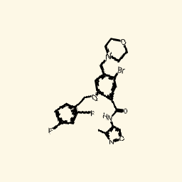 Cc1nocc1NC(=O)c1cc(Br)c(CN2CCOCC2)cc1OCc1ccc(F)cc1F